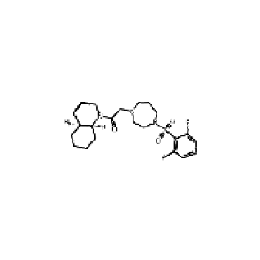 O=C(CN1CCCN(S(=O)(=O)c2c(F)cccc2F)CC1)N1CCC[C@@H]2CCCC[C@H]21